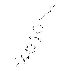 CCCCCCC1CCC(C(=O)Oc2ccc(OC(F)(F)C(F)F)cc2)CC1